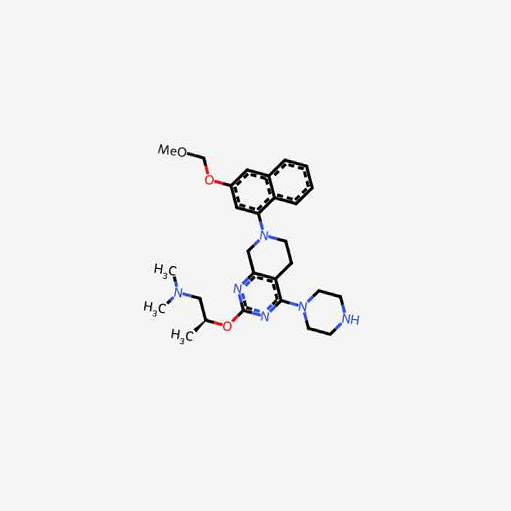 COCOc1cc(N2CCc3c(nc(O[C@@H](C)CN(C)C)nc3N3CCNCC3)C2)c2ccccc2c1